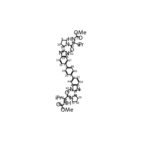 COC(=O)N[C@H](C(=O)N1CCC[C@H]1c1nc2ccc(-c3ccc(-c4ccc5nc([C@@H]6CCCN6C(=O)[C@@H](NC(=O)OC)C(C)C)n(C)c5c4)cc3)cc2n1C)C(C)C